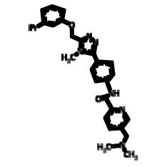 CC(C)c1cccc(OCc2nnc(-c3ccc(NC(=O)c4ccc(CN(C)C)cn4)cc3)n2C)c1